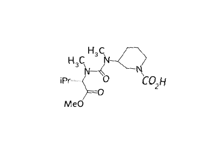 COC(=O)[C@H](C(C)C)N(C)C(=O)N(C)C1CCCN(C(=O)O)C1